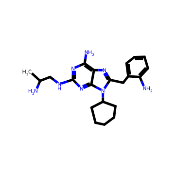 CC(N)CNc1nc(N)c2nc(Cc3ccccc3N)n(C3CCCCC3)c2n1